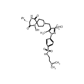 CCCN1C(=O)[C@H](CC(C)C)NC(=O)C12CCN(Cc1c(C)nn(-c3ccc(S(=O)(=O)NCCN(C)C)cc3)c1C)CC2.Cl